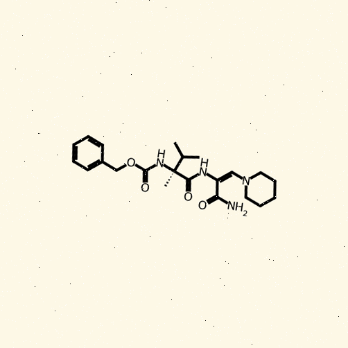 CC(C)[C@](C)(NC(=O)OCc1ccccc1)C(=O)NC(=CN1CCCCC1)C(N)=O